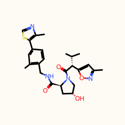 Cc1cc([C@H](C(=O)N2C[C@H](O)C[C@H]2C(=O)NCc2ccc(-c3scnc3C)cc2C)C(C)C)on1